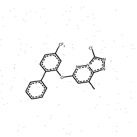 Cc1cc(Oc2cc(C(F)(F)F)ccc2-c2ccccc2)nn2c(Cl)nnc12